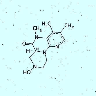 Cc1cnc2c(c1C)N(C)C(=O)[C@@H]1CN(O)CCN21